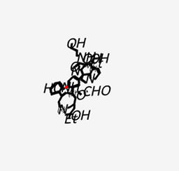 CCC1(O)CC2C[N@](CCc3c([nH]c4ccccc34)[C@@](COC=O)(c3cc4c(cc3CO)N(C)C3C45CCN4CC=C[C@](CC)(C45)[C@@H](O)[C@]3(O)C(=O)NCCCO)C2)C1